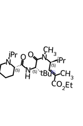 CCOC(=O)/C(C)=C/[C@H](C(C)C)N(C)C(=O)[C@@H](NC(=O)[C@@H]1CCCCN1C(C)C)C(C)(C)C